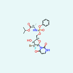 CC(C)OC(=O)[C@H](C)N[P@](=O)(OC[C@H]1O[C@@H](n2c(=O)cc[nH]c2=O)[C@@](F)(Br)[C@@H]1O)Oc1ccccc1